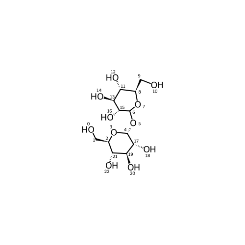 OC[C@H]1O[C@H](OC2O[C@H](CO)[C@@H](O)[C@H](O)[C@H]2O)[C@H](O)[C@@H](O)[C@@H]1O